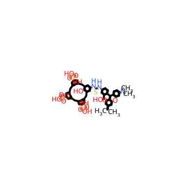 CC(C)=c1ccc2c(c1)Oc1cc(N(C)C)ccc1C=2c1ccc(NC(=S)Nc2cc3c(O)c(c2)Cc2cc(S(=O)(=O)O)cc(c2O)Cc2cc(S(=O)(=O)O)cc(c2O)Cc2cc(S(=O)(=O)O)cc(c2O)C3)cc1C(=O)O